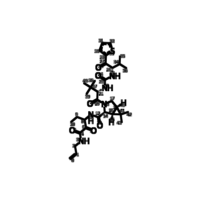 C=CCNC(=O)C(=O)C(CC)NC(=O)[C@@H]1[C@@H]2[C@H](CN1C(=O)[C@@H](NC(=O)N[C@H](C(=O)c1cccs1)C(C)C)C(C)(C)C)C2(C)C